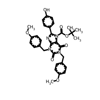 COc1ccc(Cn2c(=O)c3c(nc(-c4ccc(O)cc4)n3C(=O)OC(C)(C)C)n(Cc3ccc(OC)cc3)c2=O)cc1